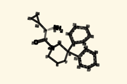 N[C@H](C(=O)N1CCCC(c2ccccc2)(c2ccccc2)C1)C1CC1